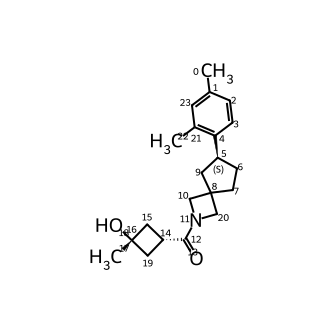 Cc1ccc([C@H]2CCC3(C2)CN(C(=O)[C@H]2C[C@@](C)(O)C2)C3)c(C)c1